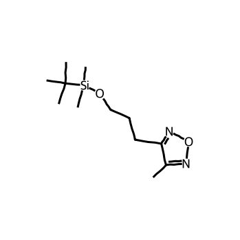 Cc1nonc1CCCO[Si](C)(C)C(C)(C)C